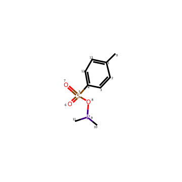 Cc1ccc(S(=O)(=O)O[I+](C)C)cc1